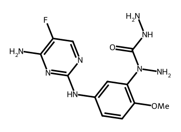 COc1ccc(Nc2ncc(F)c(N)n2)cc1N(N)C(=O)NN